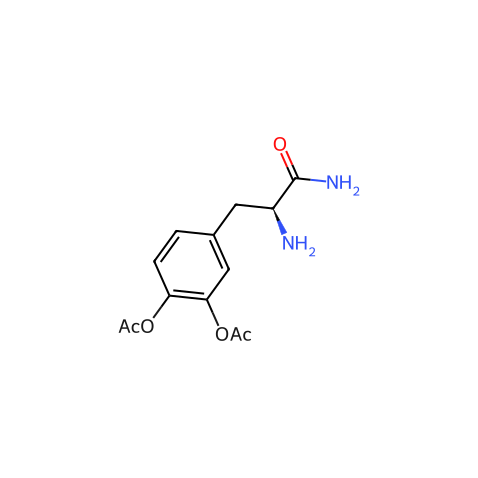 CC(=O)Oc1ccc(C[C@H](N)C(N)=O)cc1OC(C)=O